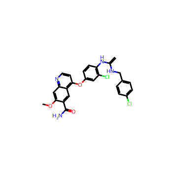 C=C(NCc1ccc(Cl)cc1)Nc1ccc(Oc2ccnc3cc(OC)c(C(N)=O)cc23)cc1Cl